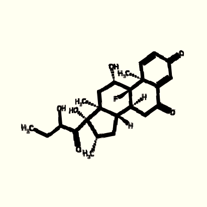 CCC(O)C(=O)[C@]1(O)[C@@H](C)C[C@H]2[C@@H]3CC(=O)C4=CC(=O)C=C[C@]4(C)[C@@]3(F)[C@@H](O)C[C@@]21C